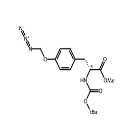 COC(=O)[C@@H](Cc1ccc(OCN=[N+]=[N-])cc1)NC(=O)OC(C)(C)C